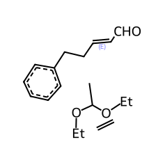 C=C.CCOC(C)OCC.O=C/C=C/CCc1ccccc1